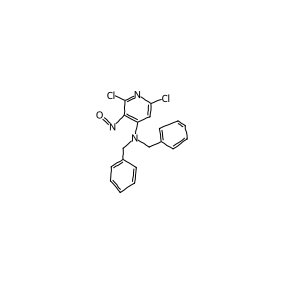 O=Nc1c(N(Cc2ccccc2)Cc2ccccc2)cc(Cl)nc1Cl